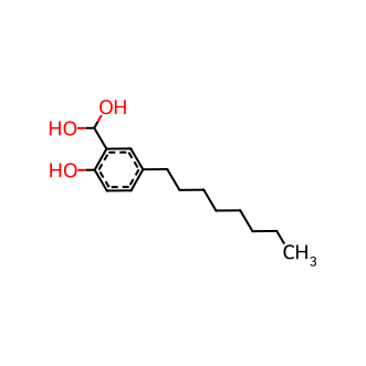 CCCCCCCCc1ccc(O)c(C(O)O)c1